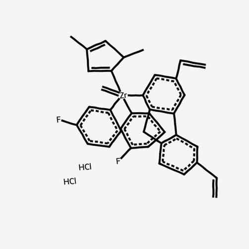 C=Cc1ccc2c(c1)-c1cc(C=C)c[c]([Zr](=[CH2])([C]3=CC(C)=CC3C)([c]3cccc(F)c3)[c]3cccc(F)c3)c1C2.Cl.Cl